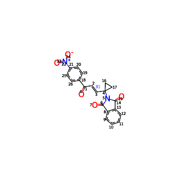 O=C(/C=C/C1(N2C(=O)c3ccccc3C2=O)CC1)c1ccc([N+](=O)[O-])cc1